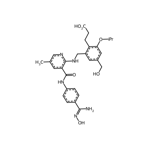 Cc1cnc(NCc2cc(CO)cc(OC(C)C)c2CCC(=O)O)c(C(=O)Nc2ccc(/C(N)=N/O)cc2)c1